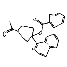 CC(=O)N1CCC(OC(=O)c2ccccc2)(c2nccc3ccccc23)CC1